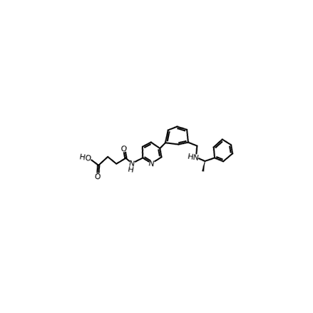 C[C@@H](NCc1cccc(-c2ccc(NC(=O)CCC(=O)O)nc2)c1)c1ccccc1